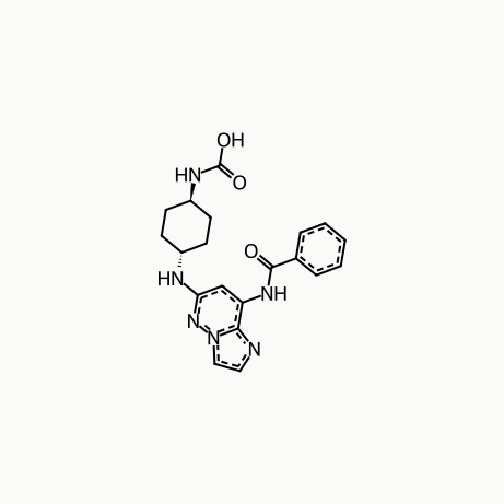 O=C(O)N[C@H]1CC[C@H](Nc2cc(NC(=O)c3ccccc3)c3nccn3n2)CC1